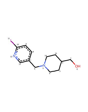 OCC1CCN(Cc2ccc(I)nc2)CC1